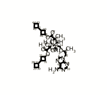 C[C@H](Cn1cnc2c(N)ncnc21)OCP(=O)(NC(C)(C)C(=O)OC1CC(C2CCC2)C1)NC(C)(C)C(=O)OC1CC(C2CCC2)C1